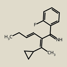 CC/C=C/C(C(=N)c1ccccc1F)=C(/C)C1CC1